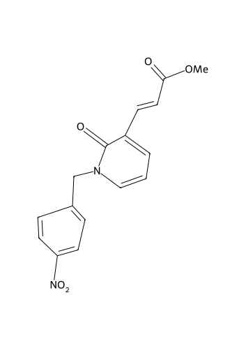 COC(=O)/C=C/c1cccn(Cc2ccc([N+](=O)[O-])cc2)c1=O